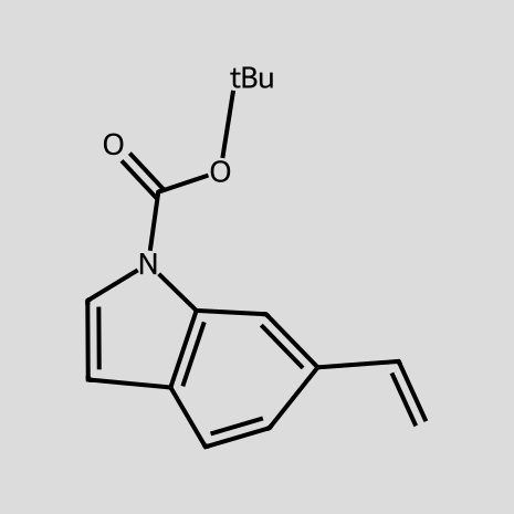 C=Cc1ccc2ccn(C(=O)OC(C)(C)C)c2c1